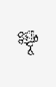 CC1(C)c2c(C#N)cccc2-c2cccc(-c3cc(-c4cccnc4)cc(-c4cccnc4)c3)c21